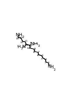 NCCCCCCCCCCC(N)C(N)CCCCN